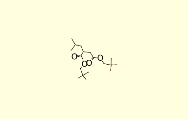 CC(C)CC(CC(=O)OCC(C)(C)C)C(=O)OCC(C)(C)C